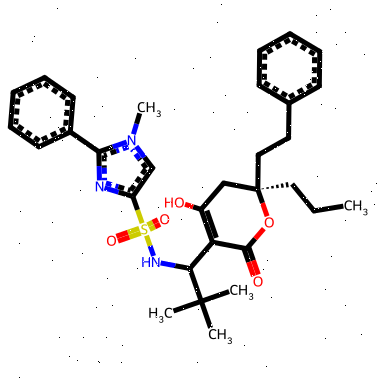 CCC[C@@]1(CCc2ccccc2)CC(O)=C(C(NS(=O)(=O)c2cn(C)c(-c3ccccc3)n2)C(C)(C)C)C(=O)O1